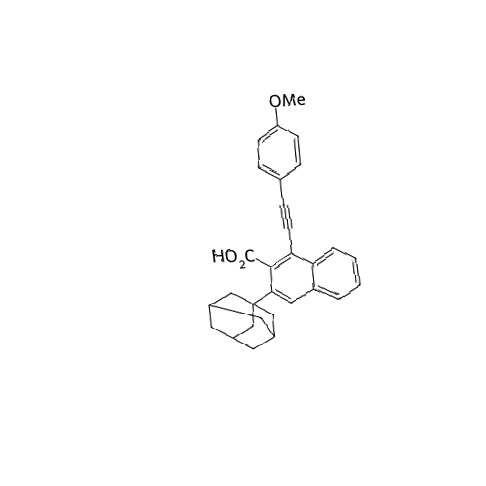 COc1ccc(C#Cc2c(C(=O)O)c(C34CC5CC(CC(C5)C3)C4)cc3ccccc23)cc1